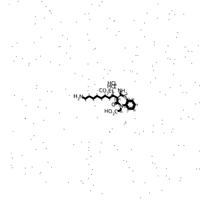 CCOC(=O)[C@@H](CCCCCCCN)[C@@H]1C(=O)N(CC(=O)O)c2ccccc2SC1N.Cl.Cl